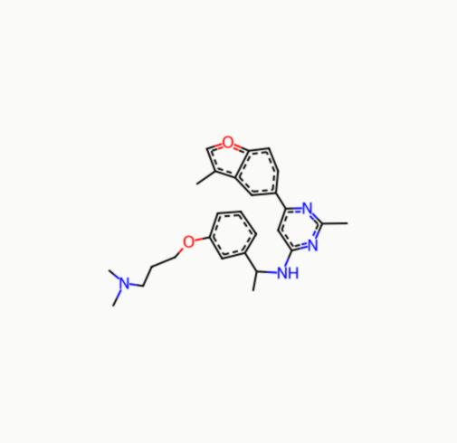 Cc1nc(NC(C)c2cccc(OCCCN(C)C)c2)cc(-c2ccc3occ(C)c3c2)n1